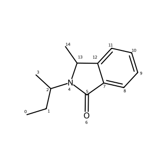 CCC(C)N1C(=O)c2ccccc2C1C